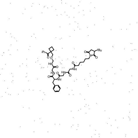 CC(C)C(=O)C1(COCNC(=O)CNC(=O)C(Cc2ccccc2)NC(=O)CNC(=O)CNC(=O)CCCCCN2C(=O)CC(C(C)(C)C)C2=O)CCC1